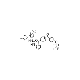 Cc1ccc(-n2nc(C(C)(C)C)cc2NC(=O)Nc2ccccc2CC2CCN(C(=O)c3ccc(OC(F)(F)C(F)F)cc3)CC2)cc1